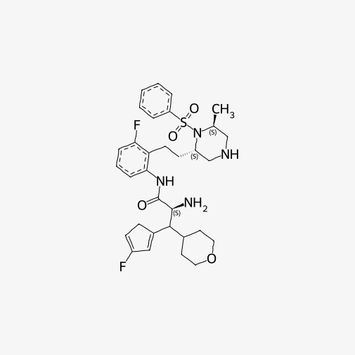 C[C@H]1CNC[C@H](CCc2c(F)cccc2NC(=O)[C@@H](N)C(C2=CC(F)=CC2)C2CCOCC2)N1S(=O)(=O)c1ccccc1